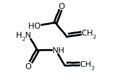 C=CC(=O)O.C=CNC(N)=O